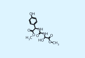 COC(=O)C(O)NC(=O)NC(C(=O)OC)c1ccc(O)cc1